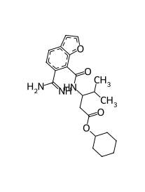 CC(C)C(CC(=O)OC1CCCCC1)NC(=O)c1c(C(=N)N)ccc2ccoc12